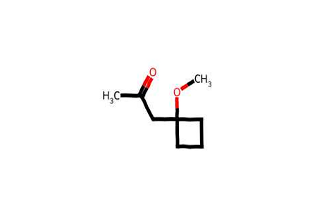 COC1(CC(C)=O)CCC1